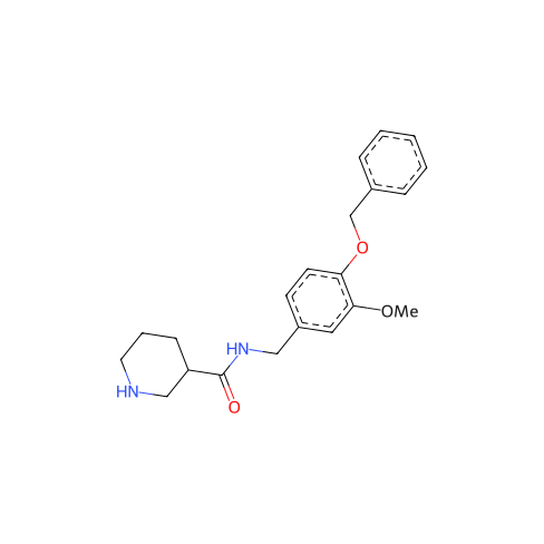 COc1cc(CNC(=O)C2CCCNC2)ccc1OCc1ccccc1